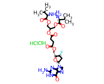 CC(C)[C@H](N)C(=O)OCC(COC(=O)[C@@H](N)C(C)C)OC(=O)CCC(=O)OC[C@H]1O[C@@H](n2cnc3c(=O)[nH]c(N)nc32)C[C@@H]1F.Cl.Cl